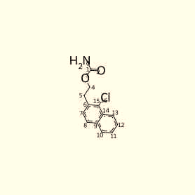 NC(=O)OCCc1ccc2ccccc2c1Cl